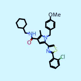 COc1ccc(Cn2c(-c3csc(-c4ccccc4Cl)n3)cc(C(=O)NCC3CCCCC3)c2C)cc1